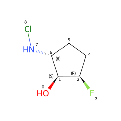 O[C@@H]1[C@H](F)CC[C@H]1NCl